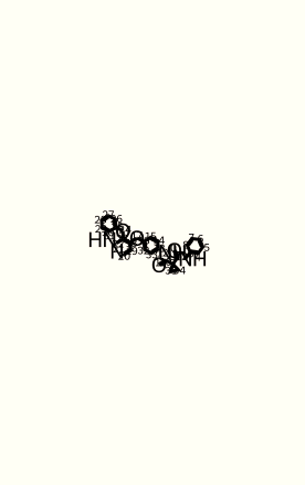 O=C(Nc1ccccc1)C1(C(=O)Nc2ccc(Oc3ccnc4c3Oc3ccccc3N4)cc2)CC1